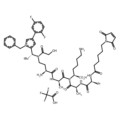 CC(C)[C@H](NC(=O)CCCCCN1C(=O)C=CC1=O)C(=O)N[C@@H](C)C(=O)N(C(=O)[C@@H](C)NC(=O)[C@@H](N)CCN(C(=O)CO)[C@@H](c1cc(-c2cc(F)ccc2F)cn1Cc1ccccc1)C(C)(C)C)[C@@H](CCCCN)C(=O)O.O=C(O)C(F)(F)F